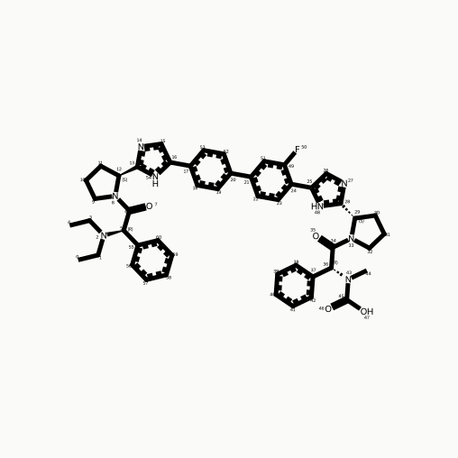 CCN(CC)[C@@H](C(=O)N1CCC[C@H]1c1ncc(-c2ccc(-c3ccc(-c4cnc([C@@H]5CCCN5C(=O)[C@@H](c5ccccc5)N(C)C(=O)O)[nH]4)c(F)c3)cc2)[nH]1)c1ccccc1